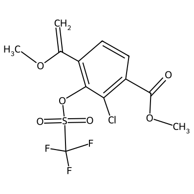 C=C(OC)c1ccc(C(=O)OC)c(Cl)c1OS(=O)(=O)C(F)(F)F